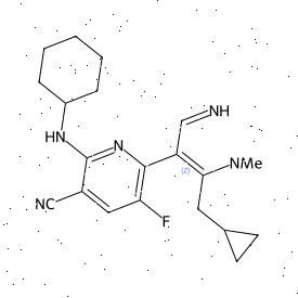 CN/C(CC1CC1)=C(\C=N)c1nc(NC2CCCCC2)c(C#N)cc1F